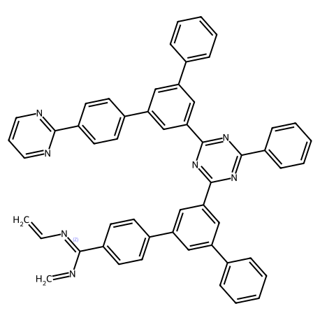 C=C/N=C(\N=C)c1ccc(-c2cc(-c3ccccc3)cc(-c3nc(-c4ccccc4)nc(-c4cc(-c5ccccc5)cc(-c5ccc(-c6ncccn6)cc5)c4)n3)c2)cc1